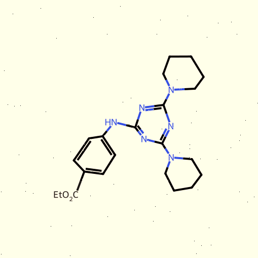 CCOC(=O)c1ccc(Nc2nc(N3CCCCC3)nc(N3CCCCC3)n2)cc1